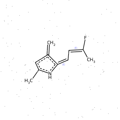 C=c1cc(C)[nH]/c1=C/C=C(\C)F